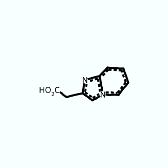 O=C(O)Cc1cn2ccccc2n1